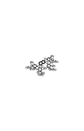 CCCCON1C(C(C)C)CC(Oc2cc3ccc(OC4CC(C(C)C)N(OCCCC)C(C(C)C)C4)c(OC4CC(C(C)C)N(OCCCC)C(C(C)C)C4)c3cc2OC2CC(C(C)C)N(OCCCC)C(C(C)C)C2)CC1C(C)C